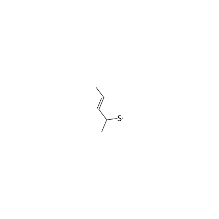 CC=CC(C)[S]